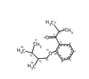 CC(C)C(=O)c1ccccc1OCC(C)C(C)C